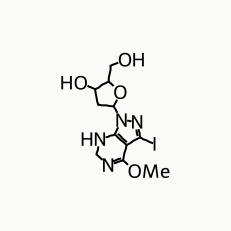 COC1=NCNc2c1c(I)nn2C1CC(O)C(CO)O1